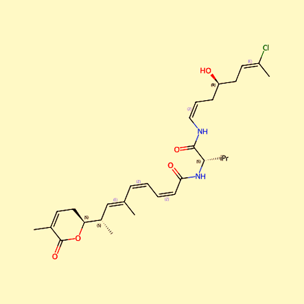 CC1=CC[C@@H]([C@@H](C)/C=C(C)/C=C\C=C/C(=O)N[C@H](C(=O)N/C=C\C[C@@H](O)C/C=C(\C)Cl)C(C)C)OC1=O